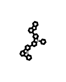 c1ccc(-n2c3ccc(-c4ccc5c6cccc7c8ccccc8n(c5c4)c76)cc3c3cc(-c4cccc5c4Cc4ccccc4-5)ccc32)cc1